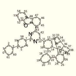 c1ccc(-c2ccc(-c3nc(-c4ccc5c(c4)-c4ccccc4-c4ccccc4C54c5ccccc5-c5ccccc54)cc(-c4cccc5c4oc4ccccc45)n3)cc2)cc1